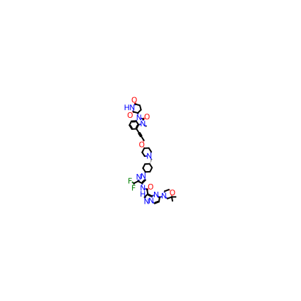 Cn1c(=O)n(C2CCC(=O)NC2=O)c2cccc(C#CCOC3CCN(C[C@H]4CC[C@H](n5cc(NC(=O)c6cnn7ccc(N8CCOC(C)(C)C8)nc67)c(C(F)F)n5)CC4)CC3)c21